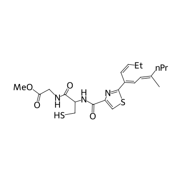 CC\C=C/C(=C\C=C(/C)CCC)c1nc(C(=O)NC(CS)C(=O)NCC(=O)OC)cs1